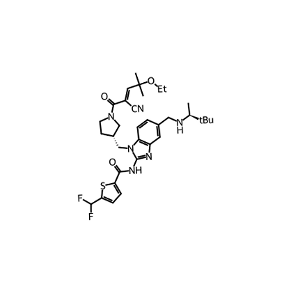 CCOC(C)(C)/C=C(\C#N)C(=O)N1CC[C@@H](Cn2c(NC(=O)c3ccc(C(F)F)s3)nc3cc(CN[C@@H](C)C(C)(C)C)ccc32)C1